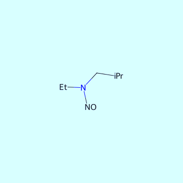 CCN(CC(C)C)N=O